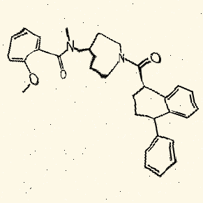 COc1ccccc1C(=O)N(C)C1CCN(C(=O)[C@@H]2CCC(c3ccccc3)c3ccccc32)CC1